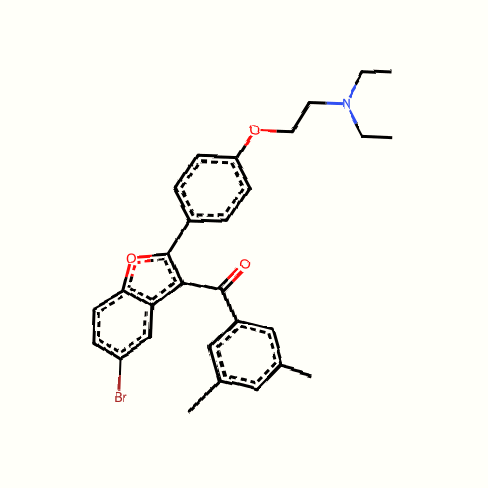 CCN(CC)CCOc1ccc(-c2oc3ccc(Br)cc3c2C(=O)c2cc(C)cc(C)c2)cc1